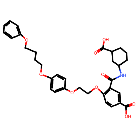 O=C(O)c1ccc(OCCOc2ccc(OCCCCOc3ccccc3)cc2)c(C(=O)NC2CCCC(C(=O)O)C2)c1